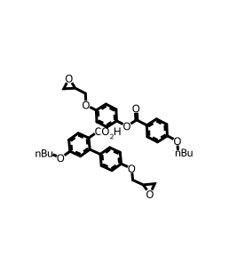 CCCCOc1ccc(C(=O)O)c(-c2ccc(OCC3CO3)cc2)c1.CCCCOc1ccc(C(=O)Oc2ccc(OCC3CO3)cc2)cc1